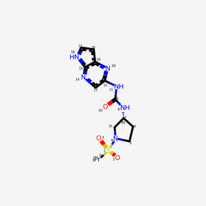 CC(C)S(=O)(=O)N1CC[C@@H](NC(=O)Nc2cnc3[nH]ccc3n2)C1